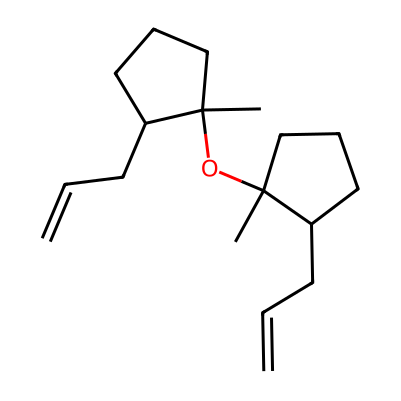 C=CCC1CCCC1(C)OC1(C)CCCC1CC=C